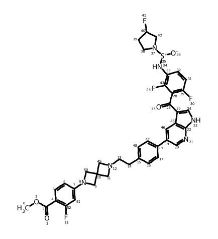 COC(=O)c1ccc(N2CC3(CN(CCc4ccc(-c5cnc6[nH]cc(C(=O)c7c(F)ccc(N[S+]([O-])N8CCC(F)C8)c7F)c6c5)cc4)C3)C2)cc1F